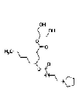 CCCCCC(CCC(=O)OC(CO)CO)OC(=O)NCCN1CCCC1